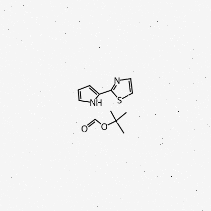 CC(C)(C)OC=O.c1c[nH]c(-c2nccs2)c1